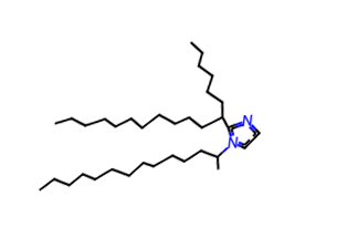 CCCCCCCCCCCCC(C)n1ccnc1C(CCCCCC)CCCCCCCCCCC